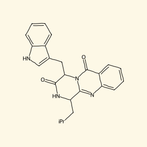 CC(C)CC1NC(=O)C(Cc2c[nH]c3ccccc23)n2c1nc1ccccc1c2=O